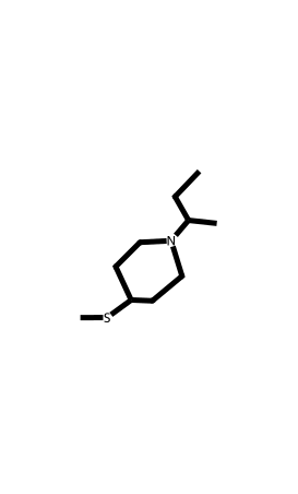 CCC(C)N1CCC(SC)CC1